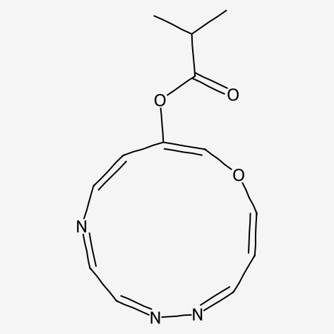 CC(C)C(=O)Oc1ccnccnncccoc1